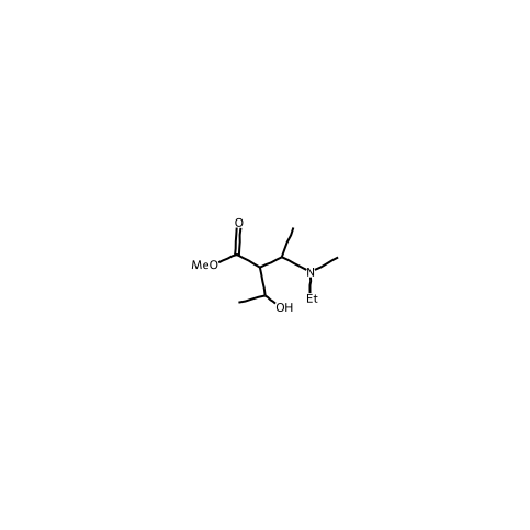 CCN(C)C(C)C(C(=O)OC)C(C)O